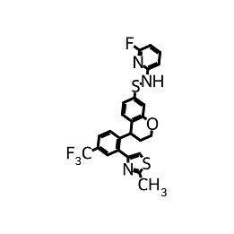 Cc1nc(-c2cc(C(F)(F)F)ccc2C2CCOc3cc(SNc4cccc(F)n4)ccc32)cs1